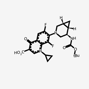 CC(C)(C)OC(=O)N[C@H]1CN(c2c(F)cc3c(=O)c(C(=O)O)cn(C4CC4)c3c2F)C[C@@H]2C[C@@H]21